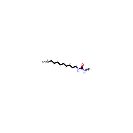 CCCCCCCCCCCCCCCCCCNC(=O)NC(C)C